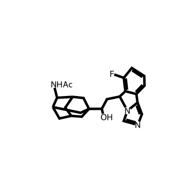 CC(=O)NC1C2CC3CC1CC(C(O)CC1c4c(F)cccc4-c4cncn41)(C3)C2